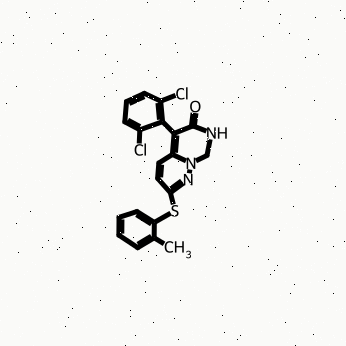 Cc1ccccc1SC1=NN2CNC(=O)C(c3c(Cl)cccc3Cl)=C2C=C1